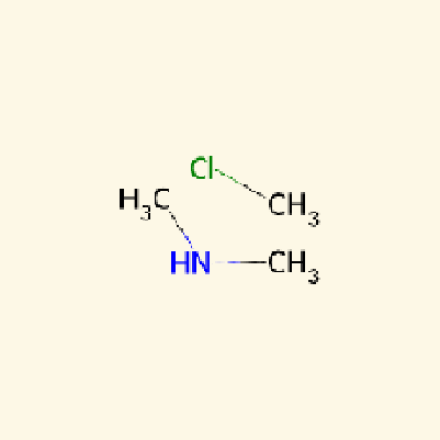 CCl.CNC